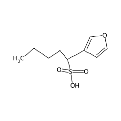 CCCCC(c1ccoc1)S(=O)(=O)O